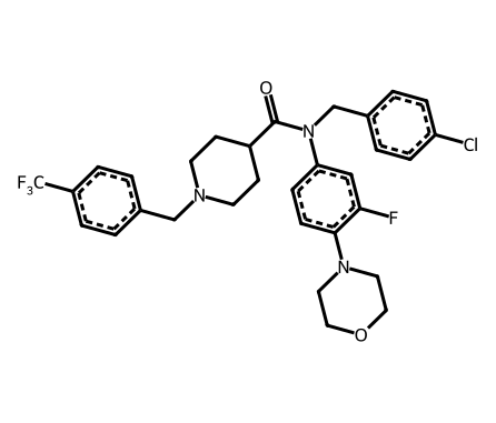 O=C(C1CCN(Cc2ccc(C(F)(F)F)cc2)CC1)N(Cc1ccc(Cl)cc1)c1ccc(N2CCOCC2)c(F)c1